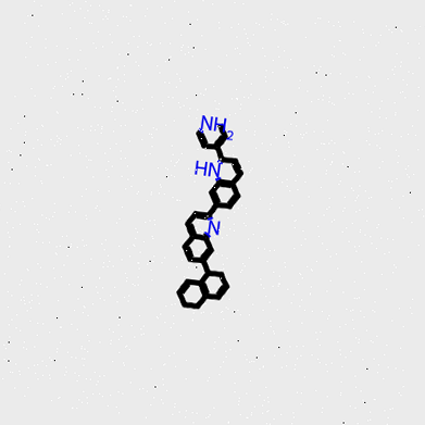 C/C=C(\C=C/N)C1C=Cc2ccc(-c3ccc4ccc(C5CC=CC6=C5C=CCC6)cc4n3)cc2N1